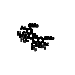 COc1cc2c(c(C)c1C(C)=O)C(C)(C)CC1(CC(C)(C)c3c(cc(OC)c(C(C)=O)c3C)O1)O2